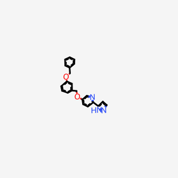 c1ccc(COc2cccc(COc3ccc(-c4ccn[nH]4)nc3)c2)cc1